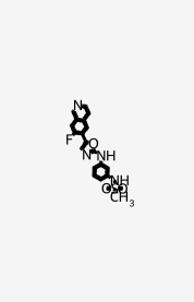 CS(=O)(=O)Nc1cccc(Nc2ncc(-c3cc4ccncc4cc3F)o2)c1